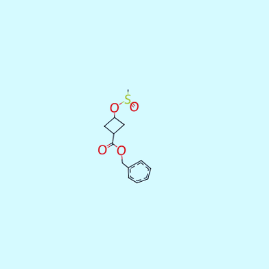 CS(=O)OC1CC(C(=O)OCc2ccccc2)C1